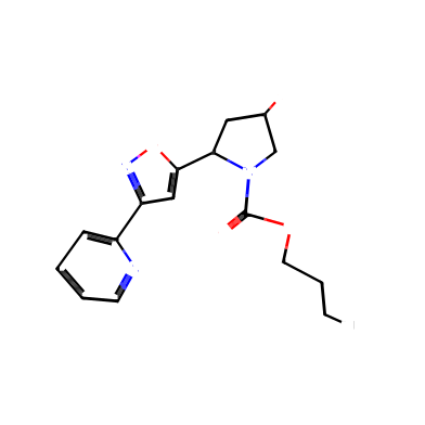 CCCCOC(=O)N1CC(O)CC1c1cc(-c2ccccn2)no1